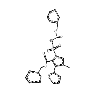 Cc1cn(S(=O)(=O)NC(=O)OCc2ccccc2)c(C(=O)OCc2ccccc2)c1-c1ccccc1